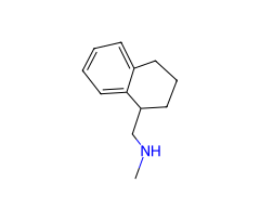 CNCC1CCCc2ccccc21